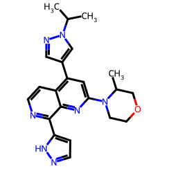 CC1COCCN1c1cc(-c2cnn(C(C)C)c2)c2ccnc(-c3ccn[nH]3)c2n1